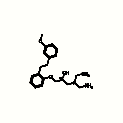 COc1cccc(CCc2ccccc2OC[C@H](O)CN(CN)CN)c1